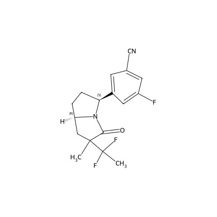 CC(F)(F)C1(C)C[C@H]2CC[C@@H](c3cc(F)cc(C#N)c3)N2C1=O